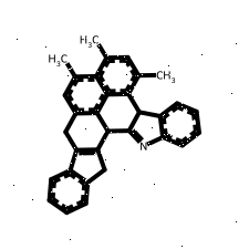 Cc1cc(C)c2c(C)cc3c4c2c1C1C(=Nc2ccccc21)C4C1=C(C3)c2ccccc2C1